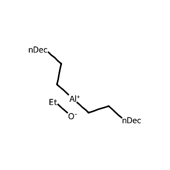 CCCCCCCCCCC[CH2][Al+][CH2]CCCCCCCCCCC.CC[O-]